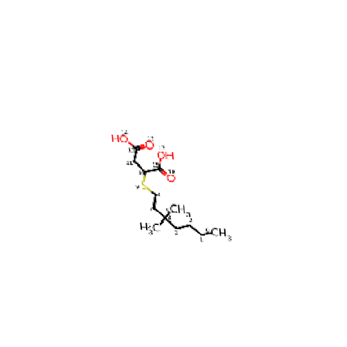 CCCCC(C)(C)CCSC(CC(=O)O)C(=O)O